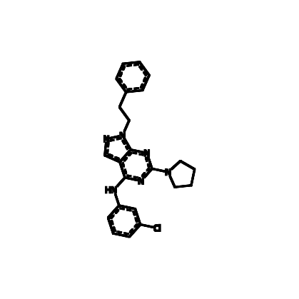 Clc1cccc(Nc2nc(N3CCCC3)nc3c2cnn3CCc2ccccc2)c1